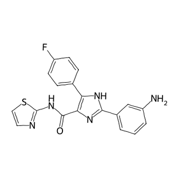 Nc1cccc(-c2nc(C(=O)Nc3nccs3)c(-c3ccc(F)cc3)[nH]2)c1